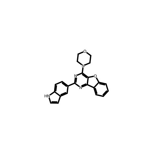 c1ccc2c(c1)oc1c(N3CCOCC3)nc(-c3ccc4[nH]ccc4c3)nc12